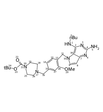 CCCCNc1nc(N)nc2ccn(Cc3ccc(CN4CCN(C(=O)OC(C)(C)C)CC4)cc3OC)c12